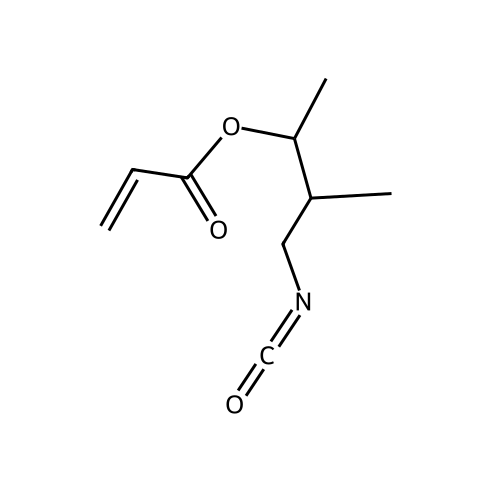 C=CC(=O)OC(C)C(C)CN=C=O